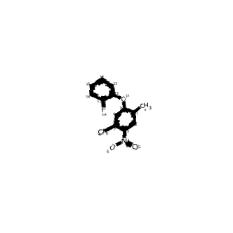 Cc1cc([N+](=O)[O-])c(Cl)cc1Oc1ccccc1F